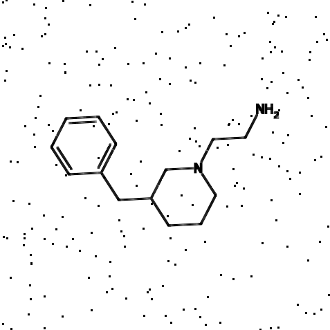 NCCN1CCCC(Cc2ccccc2)C1